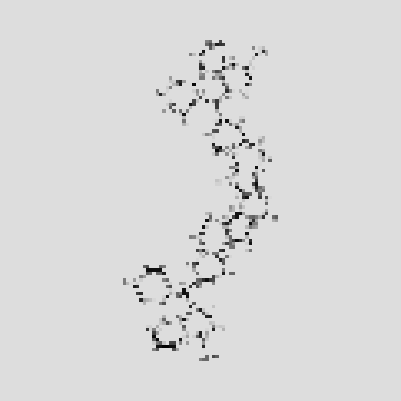 CC(C)c1ccc(N(c2ccccc2)c2ccc3c(ccc4c5ccc6oc7c8ccc(N(c9ccccc9)c9ccc(C(C)C)c%10ccccc9%10)cc8ccc7c6c5oc34)c2)c2ccccc12